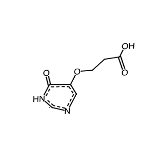 O=C(O)CCOc1cn[c][nH]c1=O